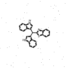 c1ccc2sc(C(c3c[nH]c4ccccc34)c3c[nH]c4ccccc34)nc2c1